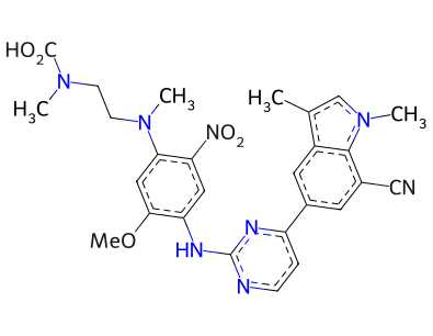 COc1cc(N(C)CCN(C)C(=O)O)c([N+](=O)[O-])cc1Nc1nccc(-c2cc(C#N)c3c(c2)c(C)cn3C)n1